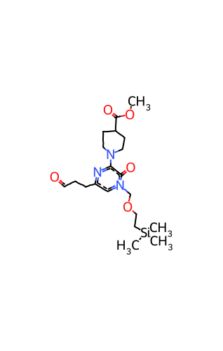 COC(=O)C1CCN(c2nc(CCC=O)cn(COCC[Si](C)(C)C)c2=O)CC1